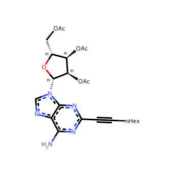 CCCCCCC#Cc1nc(N)c2ncn([C@@H]3O[C@H](COC(C)=O)[C@@H](OC(C)=O)[C@H]3OC(C)=O)c2n1